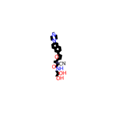 C/C(=C(/C#N)C(=O)NCC(O)CO)c1ccc(-c2ccc3cc(N4CCN(C)CC4)ccc3c2)o1